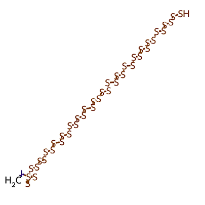 C=IS(=S)(=S)SSSSSSSSSSSSSSSSSSSSSSSSSSSSSSSSSSSSSS